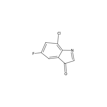 O=C1C=Nc2c(Cl)cc(F)cc21